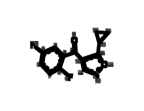 O=C(c1cc(F)ccc1F)c1cnoc1C1CC1